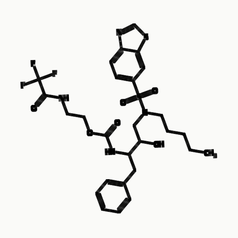 CCCCCN(CC(O)C(Cc1ccccc1)NC(=O)OCCNC(=O)C(F)(F)F)S(=O)(=O)c1ccc2ncsc2c1